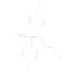 C#CC(COCC)(c1ccc(F)cc1)c1ccc(F)cc1